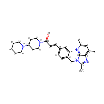 CCc1nc2c(C)cc(C)nc2n1Cc1ccc(/C=C/C(=O)N2CCC(N3CCCCC3)CC2)cc1